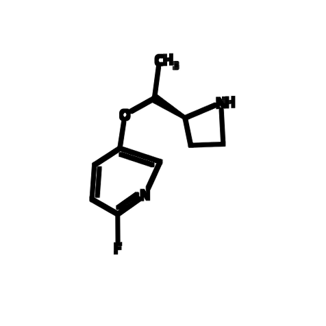 CC(Oc1ccc(F)nc1)[C@@H]1CCN1